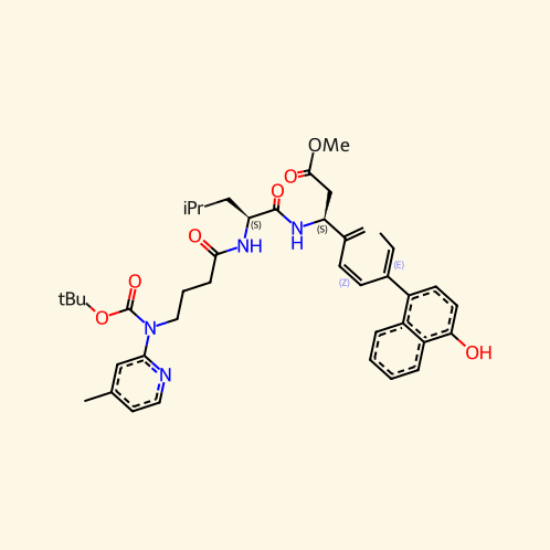 C=C(/C=C\C(=C/C)c1ccc(O)c2ccccc12)[C@H](CC(=O)OC)NC(=O)[C@H](CC(C)C)NC(=O)CCCN(C(=O)OC(C)(C)C)c1cc(C)ccn1